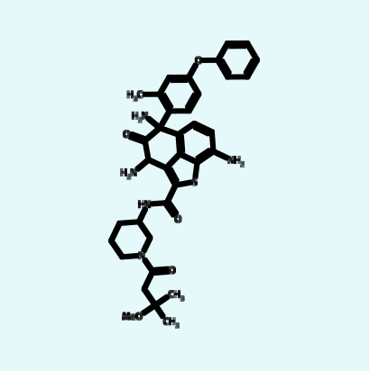 COC(C)(C)CC(=O)N1CCCC(NC(=O)c2sc3c(N)ccc4c3c2C(N)C(=O)C4(N)c2ccc(Oc3ccccc3)cc2C)C1